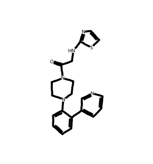 O=C(CNc1nccs1)N1CCN(c2ccccc2-c2cccnc2)CC1